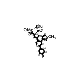 COC(=O)C1C=C(c2cnc(-c3ccc(F)cc3)cc2-c2ccn(C)n2)CN1C(=O)OC(C)(C)C